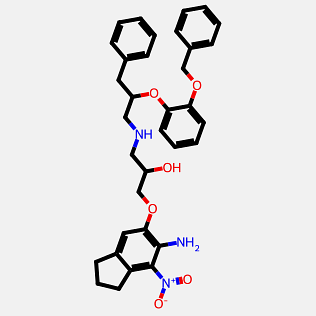 Nc1c(OCC(O)CNCC(Cc2ccccc2)Oc2ccccc2OCc2ccccc2)cc2c(c1[N+](=O)[O-])CCC2